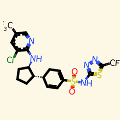 O=S(=O)(Nc1nnc(C(F)(F)F)s1)C1=CCC([C@@H]2CCC[C@H]2Nc2ncc(C(F)(F)F)cc2Cl)C=C1